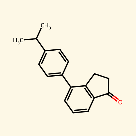 CC(C)c1ccc(-c2cccc3c2CCC3=O)cc1